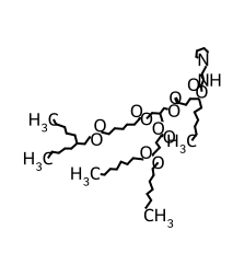 CCCCCCCCOC(CCC(=O)OCC(COC(=O)CCCCCC(=O)OCCC(CCCCC)CCCCC)COC(=O)CCC(CCCCCC)OC(=O)NCCN1CCCC1)OCCCCCCCC